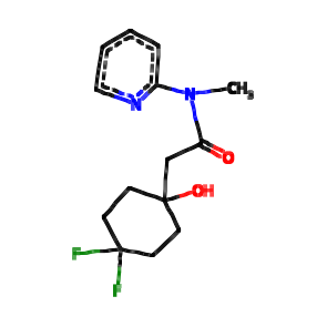 CN(C(=O)CC1(O)CCC(F)(F)CC1)c1ccccn1